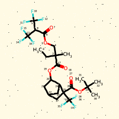 CCC(C)(COC(=O)C(C(F)(F)F)C(F)(F)F)C(=O)OC1CC2CC1C(C(=O)OC(C)(C)C)(C(F)(F)F)C2